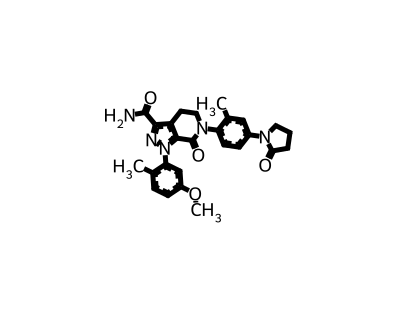 COc1ccc(C)c(-n2nc(C(N)=O)c3c2C(=O)N(c2ccc(N4CCCC4=O)cc2C)CC3)c1